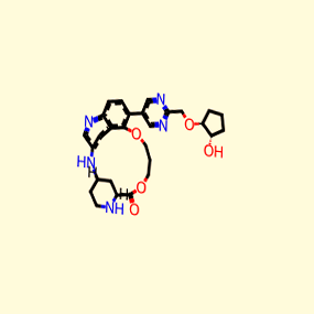 O=C1OCCCOc2c(-c3cnc(CO[C@H]4CCC[C@@H]4O)nc3)ccc3ncc(cc23)N[C@H]2CCN[C@H]1C2